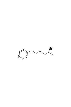 CC(Br)CCCCc1c[c]ncc1